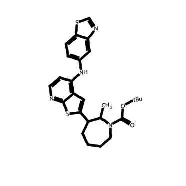 CC1C(c2cc3c(Nc4ccc5scnc5c4)ccnc3s2)CCCCN1C(=O)OC(C)(C)C